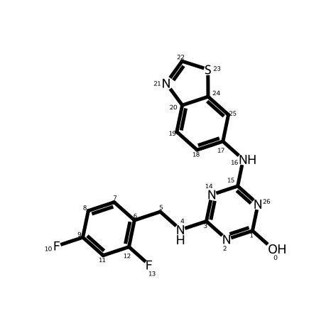 Oc1nc(NCc2ccc(F)cc2F)nc(Nc2ccc3ncsc3c2)n1